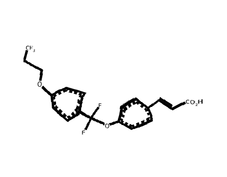 O=C(O)C=Cc1ccc(OC(F)(F)c2ccc(OCCC(F)(F)F)cc2)cc1